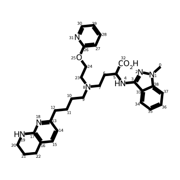 Cn1nc(NC(CCN(CCCCc2ccc3c(n2)NCCC3)CCOc2ccccn2)C(=O)O)c2ccccc21